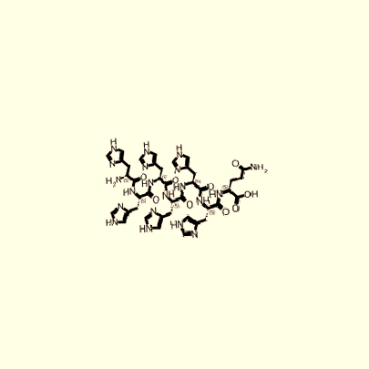 NC(=O)CC[C@H](NC(=O)[C@H](Cc1c[nH]cn1)NC(=O)[C@H](Cc1c[nH]cn1)NC(=O)[C@H](Cc1c[nH]cn1)NC(=O)[C@H](Cc1c[nH]cn1)NC(=O)[C@H](Cc1c[nH]cn1)NC(=O)[C@@H](N)Cc1c[nH]cn1)C(=O)O